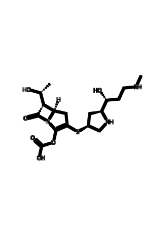 CNCC[C@@H](O)[C@@H]1C[C@H](SC2=C(OC(=O)O)N3C(=O)[C@H]([C@@H](C)O)[C@H]3C2)CN1